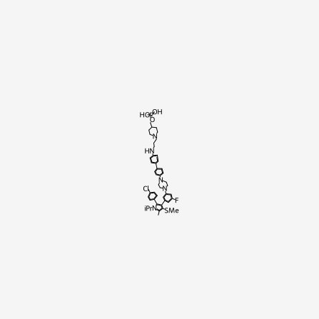 CSc1c(-c2cc(F)cc(N3CCN(c4ccc(-c5ccc(NCCCN6CCC(COP(O)O)CC6)cc5)cc4)CC3)c2)c(-c2ccc(Cl)cc2)n(C(C)C)c1C